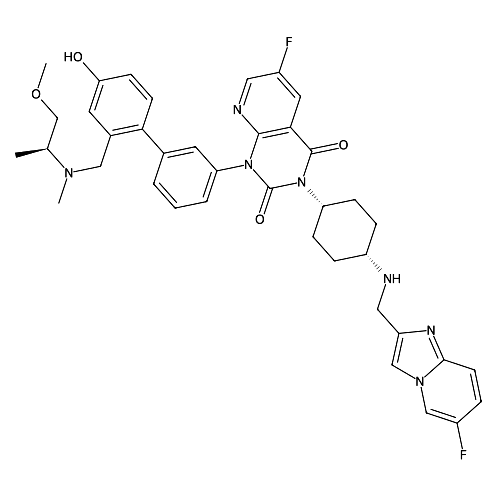 COC[C@H](C)N(C)Cc1cc(O)ccc1-c1cccc(-n2c(=O)n([C@H]3CC[C@@H](NCc4cn5cc(F)ccc5n4)CC3)c(=O)c3cc(F)cnc32)c1